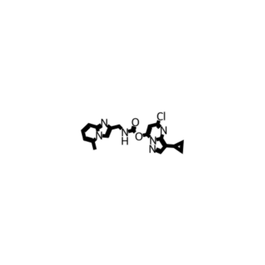 Cc1cccc2nc(CNC(=O)Oc3cc(Cl)nc4c(C5CC5)cnn34)cn12